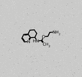 C=C(NC1CCCc2cccnc21)OCCN